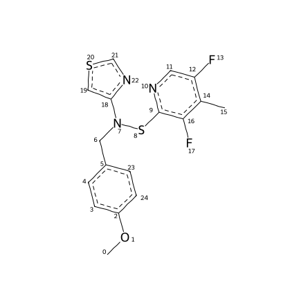 COc1ccc(CN(Sc2ncc(F)c(C)c2F)c2cscn2)cc1